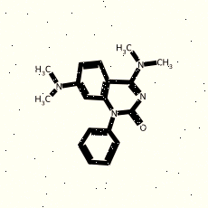 CN(C)c1ccc2c(N(C)C)nc(=O)n(-c3ccccc3)c2c1